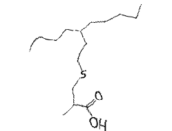 CCCCCC(CCCC)CCSCC(C)C(=O)O